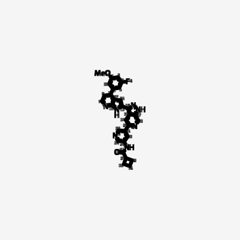 COc1cc(F)cc(-c2ccnc3[nH]c(-c4n[nH]c5cnc(-c6cncc(NC(=O)C7CCC7)c6)cc45)cc23)c1